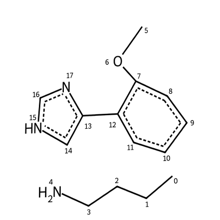 CCCCN.COc1ccccc1-c1c[nH]cn1